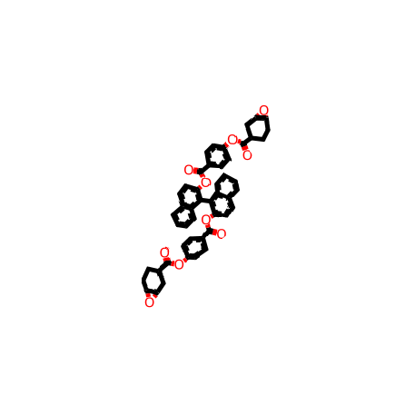 O=C(Oc1ccc2ccccc2c1-c1c(OC(=O)c2ccc(OC(=O)C3CCC4OC4C3)cc2)ccc2ccccc12)c1ccc(OC(=O)C2CCC3OC3C2)cc1